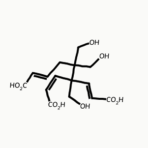 O=C(O)C=CCC(CO)(CO)C(C=CC(=O)O)(C=CC(=O)O)CO